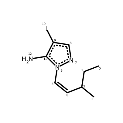 CCC(C)/C=C\n1ncc(I)c1N